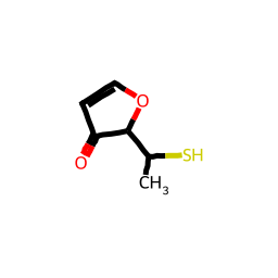 CC(S)C1OC=CC1=O